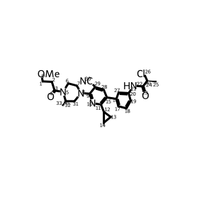 COCCC(=O)N1CCN(c2nc(C3CC3)c(-c3cccc(NC(=O)[C@H](C)Cl)c3)cc2C#N)C[C@H]1C